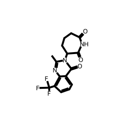 Cc1nc2c(C(F)(F)F)cccc2c(=O)n1C1CCCC(=O)NC1=O